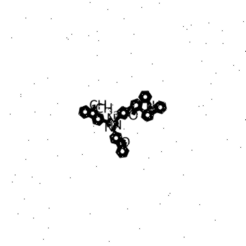 CC1(C)c2ccccc2-c2ccc(-c3nc(-c4ccc5c(c4)oc4ccccc45)nc(-c4ccc5c(c4)oc4c(-c6cccc7c8ccccc8n(-c8ccccc8)c67)cccc45)n3)cc21